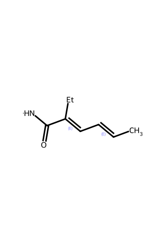 C/C=C/C=C(\CC)C([NH])=O